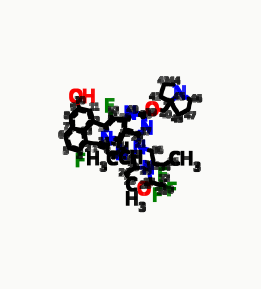 C#Cc1c(F)ccc2cc(O)cc(-c3nc(N(C)C)c4c(N5CC(CC)N(C(=O)C(F)(F)F)C(CC)C5)nc(OCC56CCCN5CCC6)nc4c3F)c12